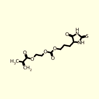 C=C(C)C(=O)OCCOC(=O)OCCCC1NC(=S)NC1=O